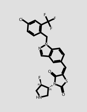 O=C1SC(=Cc2ccc3c(cnn3Cc3ccc(Cl)cc3C(F)(F)F)c2)C(=O)N1[C@@H]1CNC[C@H]1F